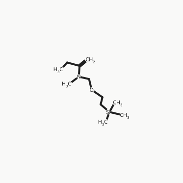 C=C(CC)N(C)COCC[Si](C)(C)C